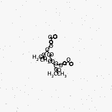 C=C(C)C(=O)OCCC(COC(=O)CCC(=O)OCC(CCOC(=O)C(=C)C)OCCOc1ccc(C(=O)c2ccccc2)cc1)OCCOc1ccc(C(=O)c2ccccc2)cc1